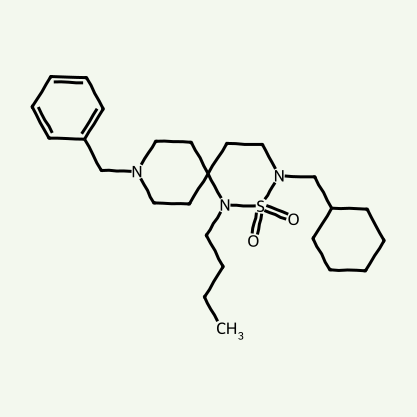 CCCCN1C2(CCN(Cc3ccccc3)CC2)CCN(CC2CCCCC2)S1(=O)=O